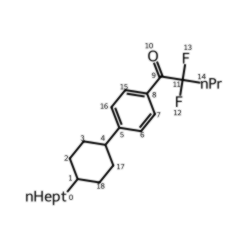 CCCCCCCC1CCC(c2ccc(C(=O)C(F)(F)CCC)cc2)CC1